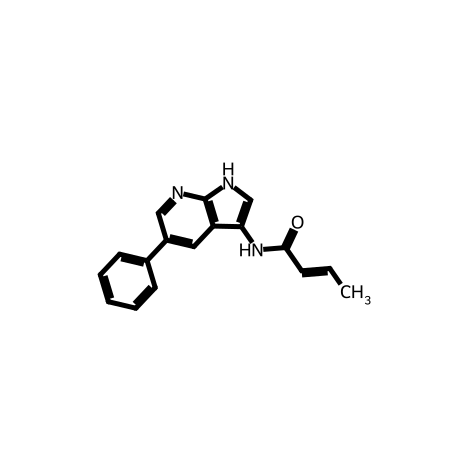 C/C=C/C(=O)Nc1c[nH]c2ncc(-c3ccccc3)cc12